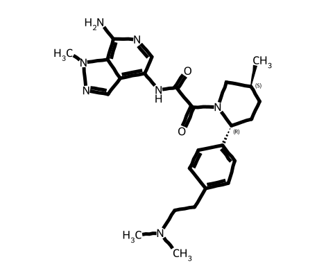 C[C@H]1CC[C@H](c2ccc(CCN(C)C)cc2)N(C(=O)C(=O)Nc2cnc(N)c3c2cnn3C)C1